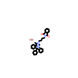 Br.CC1=C[N+](C)(C(c2ccccc2)(c2ccccc2)c2ccccc2)C=[N+]1CCCCN1C(=O)c2ccccc2C1=O